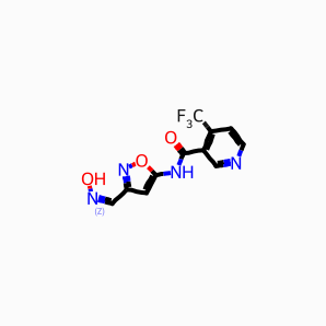 O=C(Nc1cc(/C=N\O)no1)c1cnccc1C(F)(F)F